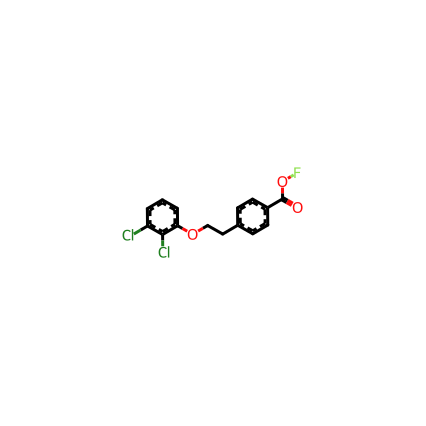 O=C(OF)c1ccc(CCOc2cccc(Cl)c2Cl)cc1